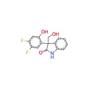 O=C1Nc2ccccc2C1(CO)c1cc(F)c(F)cc1O